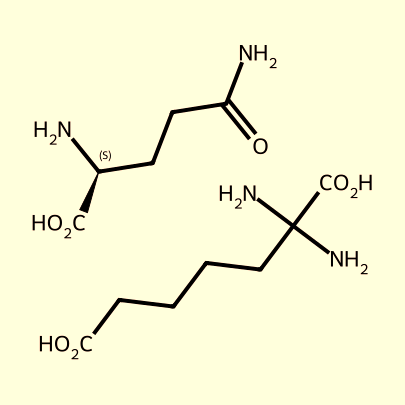 NC(=O)CC[C@H](N)C(=O)O.NC(N)(CCCCC(=O)O)C(=O)O